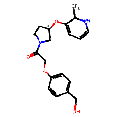 O=C(COc1ccc(CO)cc1)N1CC[C@@H](OC2=CC=CNC2C(F)(F)F)C1